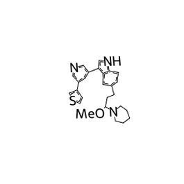 COC(CCc1ccc2[nH]cc(-c3cncc(-c4ccsc4)c3)c2c1)N1CCCCC1